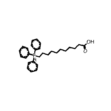 O=C(O)CCCCCCCCCC[PH](c1ccccc1)(c1ccccc1)c1ccccc1